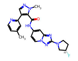 Cc1ccnc(-c2cnn(C)c2C(=O)Nc2ccn3nc(N4CC[C@H](F)C4)nc3c2)c1